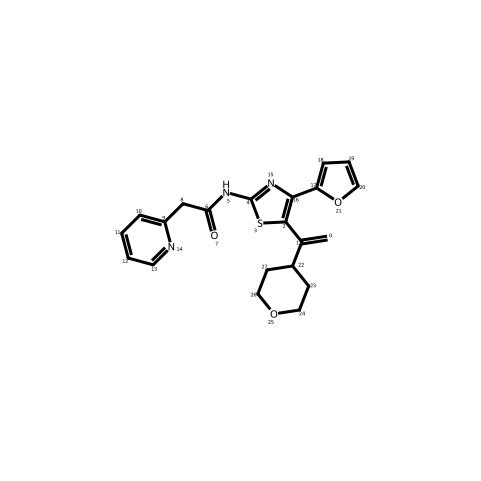 C=C(c1sc(NC(=O)Cc2ccccn2)nc1-c1ccco1)C1CCOCC1